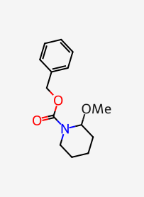 COC1CCCCN1C(=O)OCc1ccccc1